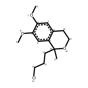 COc1cc2c(cc1OC)C(C)(CCCCl)OCC2